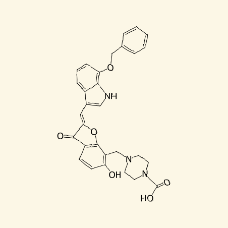 O=C1/C(=C/c2c[nH]c3c(OCc4ccccc4)cccc23)Oc2c1ccc(O)c2CN1CCN(C(=O)O)CC1